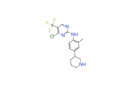 Cc1cc(C2CCCNC2)ccc1Nc1ncc(C(F)(F)F)c(Cl)n1